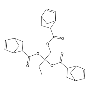 CCC(COC(=O)C1CC2C=CC1C2)(OC(=O)C1CC2C=CC1C2)OC(=O)C1CC2C=CC1C2